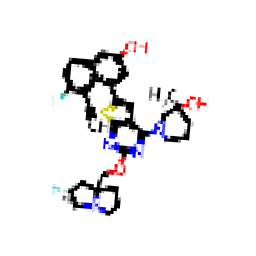 C#Cc1c(F)ccc2cc(O)cc(-c3cc4c(N5CCC[C@@](C)(O)C5)nc(OC[C@@]56CCCN5C[C@H](F)C6)nc4s3)c12